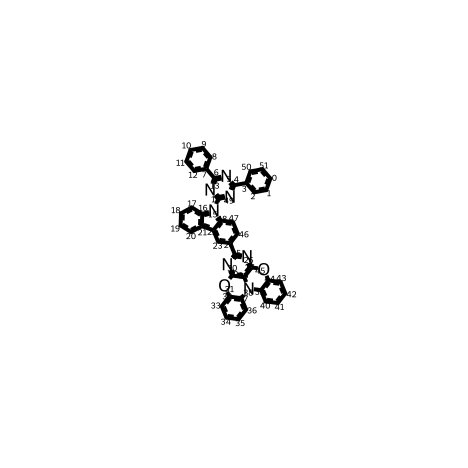 c1ccc(-c2nc(-c3ccccc3)nc(-n3c4ccccc4c4cc(-c5nc6c7c(n5)Oc5ccccc5N7c5ccccc5O6)ccc43)n2)cc1